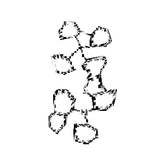 c1ccc(N(c2cccc3ccccc23)c2cccc3c2sc2cc(C4(c5ccccc5)c5ccccc5-c5ccccc54)ccc23)cc1